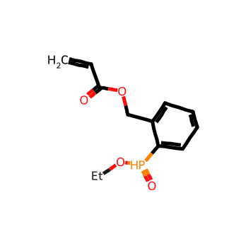 C=CC(=O)OCc1ccccc1[PH](=O)OCC